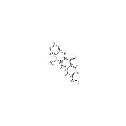 CCN(C)N(Cc1ccccc1)C(=O)c1ccc(N)cc1